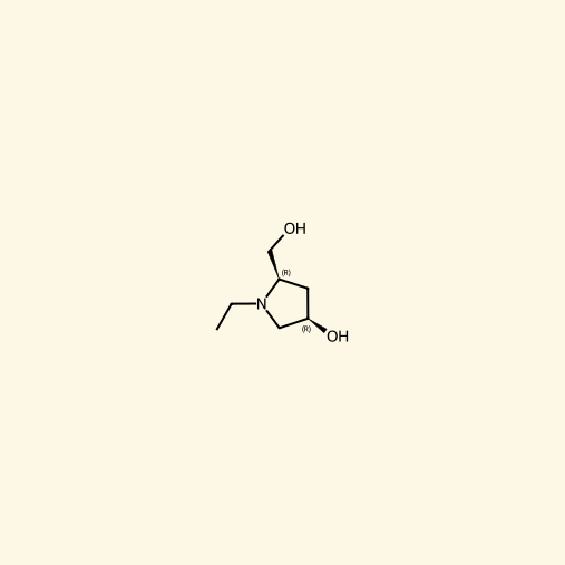 CCN1C[C@H](O)C[C@@H]1CO